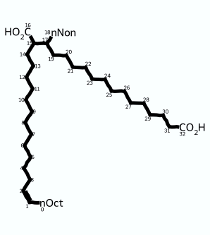 CCCCCCCC/C=C\CCCCCCCCCCCCC(C(=O)O)C(CCCCCCCCC)CCCCCCCCCCCCCC(=O)O